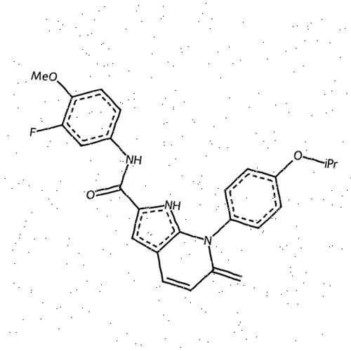 C=C1C=Cc2cc(C(=O)Nc3ccc(OC)c(F)c3)[nH]c2N1c1ccc(OC(C)C)cc1